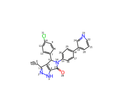 CC(C)(C)c1n[nH]c2c1C(c1ccc(Cl)cc1)N(c1ccc(-c3cccnc3)cc1)C2=O